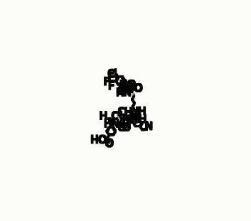 CC(C)[C@H](NC(=O)[C@H](Cc1ccncc1)NC(=O)NCCCC[C@H](NS(=O)(=O)c1ccc(Cl)c(C(F)(F)F)c1)C(=O)O)C(=O)Nc1ccc(C(=O)O)cc1